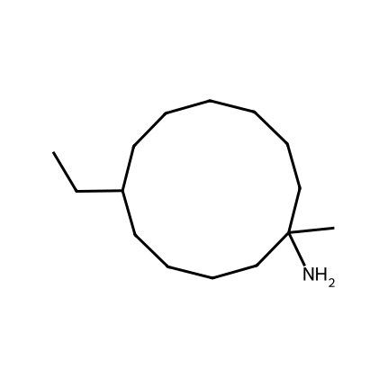 CCC1CCCCCCC(C)(N)CCCC1